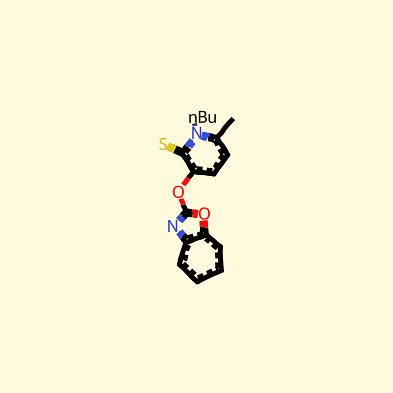 CCCCn1c(C)ccc(Oc2nc3ccccc3o2)c1=S